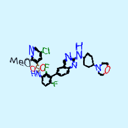 COc1ncc(Cl)cc1S(=O)(=O)Nc1ccc(F)c(-c2ccc3nc(N[C@H]4CC[C@H](N5CCOCC5)CC4)ncc3c2)c1F